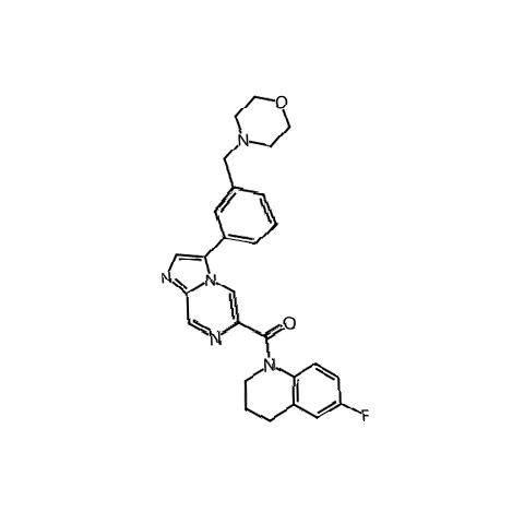 O=C(c1cn2c(-c3cccc(CN4CCOCC4)c3)cnc2cn1)N1CCCc2cc(F)ccc21